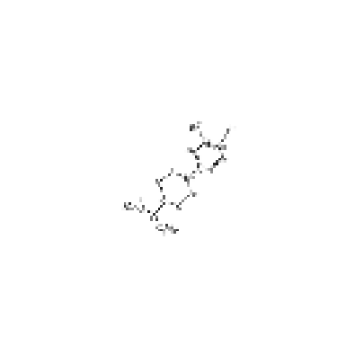 COC(OC)C1CCN(c2ccc(F)c(Br)c2)CC1